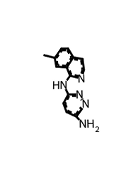 Cc1ccc2ccnc(Nc3ccc(N)nn3)c2c1